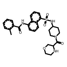 Cc1ccccc1C(=O)Nc1cccc2c(S(=O)(=O)NC3CCN(C(=O)C4COCCN4)CC3)cccc12